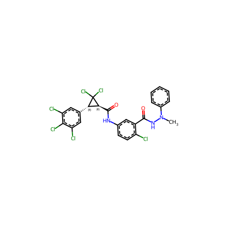 CN(NC(=O)c1cc(NC(=O)[C@H]2[C@H](c3cc(Cl)c(Cl)c(Cl)c3)C2(Cl)Cl)ccc1Cl)c1ccccc1